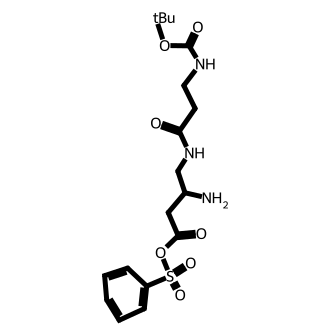 CC(C)(C)OC(=O)NCCC(=O)NCC(N)CC(=O)OS(=O)(=O)c1ccccc1